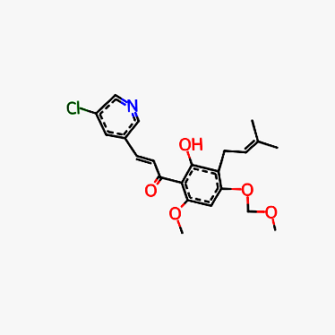 COCOc1cc(OC)c(C(=O)C=Cc2cncc(Cl)c2)c(O)c1CC=C(C)C